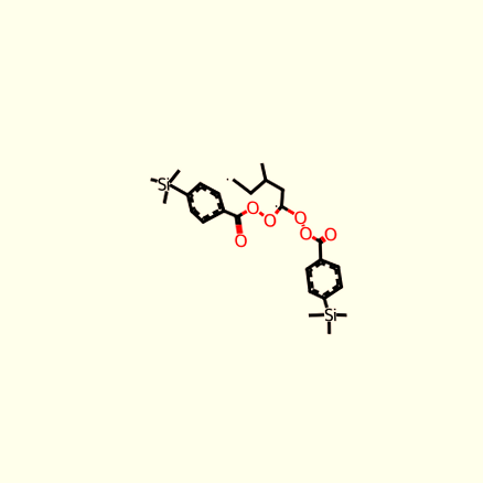 [CH2]CC(C)C[C](OOC(=O)c1ccc([Si](C)(C)C)cc1)OOC(=O)c1ccc([Si](C)(C)C)cc1